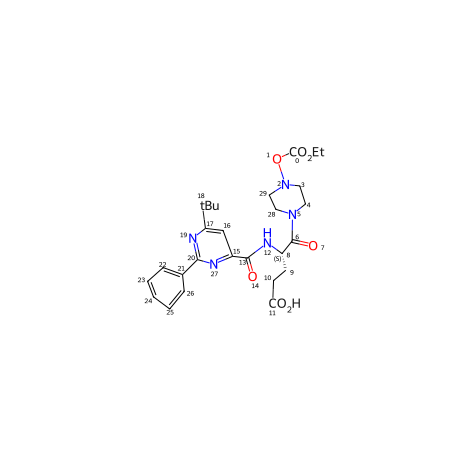 CCOC(=O)ON1CCN(C(=O)[C@H](CCC(=O)O)NC(=O)c2cc(C(C)(C)C)nc(-c3ccccc3)n2)CC1